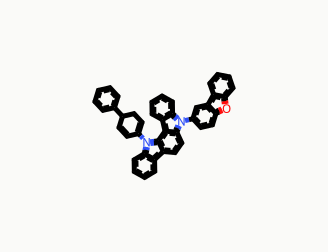 C1=CC(c2ccccc2)CC=C1n1c2ccccc2c2ccc3c(c4ccccc4n3-c3ccc4oc5ccccc5c4c3)c21